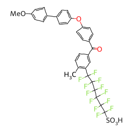 COc1ccc(-c2ccc(Oc3ccc(C(=O)c4ccc(C)c(C(F)(F)C(F)(F)C(F)(F)C(F)(F)C(F)(F)C(F)(F)S(=O)(=O)O)c4)cc3)cc2)cc1